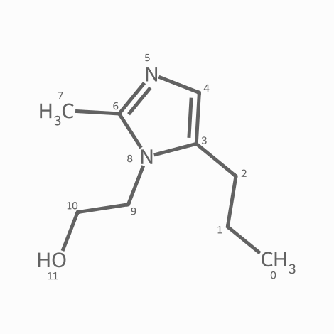 CCCc1cnc(C)n1CCO